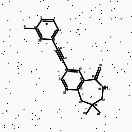 Cc1cccc(C#Cc2cnc3c(c2)C(=O)NCC(C)(C)C3)c1